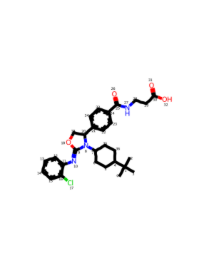 CC(C)(C)C1CCC(N2C(=Nc3ccccc3Cl)OCC2c2ccc(C(=O)NCCC(=O)O)cc2)CC1